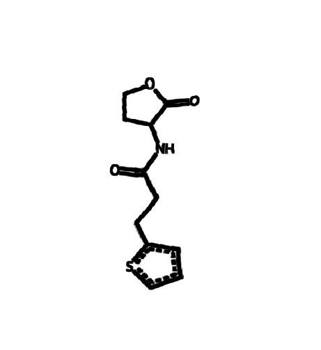 O=C(CCc1cccs1)NC1CCOC1=O